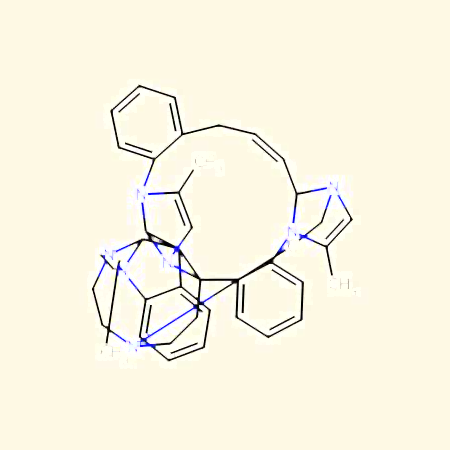 CC1=CN2CCN3CCN4C=C(C)N5c6ccccc6C6(C45)C4N5C(C)=CN4C6(CC3)c3ccccc3N1C2/C=C\Cc1ccccc15